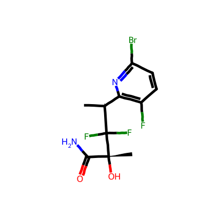 C[C](c1nc(Br)ccc1F)C(F)(F)[C@](C)(O)C(N)=O